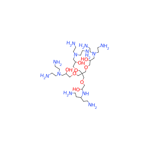 NCCC(CCN)NC(O)COCC(COCC(O)CN(CCN)CCN)(COCC(O)CN(CCN)CCN)COCC(O)CN(CCN)CCN